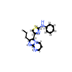 CCCc1nc2ncccn2c1-c1csc(Nc2ccccc2)n1